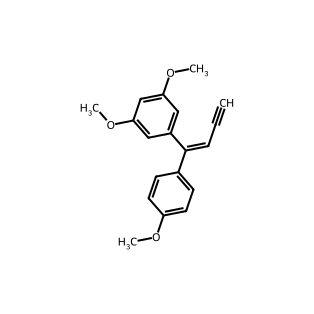 C#CC=C(c1ccc(OC)cc1)c1cc(OC)cc(OC)c1